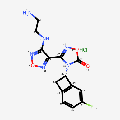 Cl.NCCNc1nonc1-c1noc(=O)n1[C@H]1Cc2ccc(F)cc21